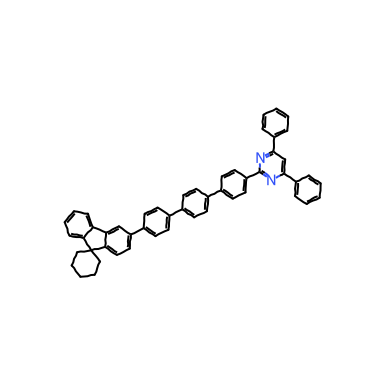 c1ccc(-c2cc(-c3ccccc3)nc(-c3ccc(-c4ccc(-c5ccc(-c6ccc7c(c6)-c6ccccc6C76CCCCC6)cc5)cc4)cc3)n2)cc1